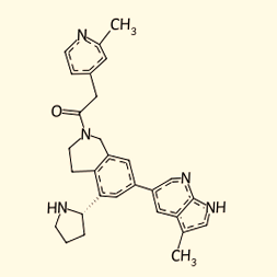 Cc1cc(CC(=O)N2CCc3c(cc(-c4cnc5[nH]cc(C)c5c4)cc3[C@@H]3CCCN3)C2)ccn1